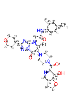 CCc1c(N2CCN(C(=O)c3ncc4c(c3O)OCC4)CC2)c(=O)n2nc(C3=CCOCC3)nc2n1CC(=O)Nc1ccc(C(F)(F)F)cc1C